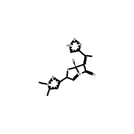 C/C(=C1\C(=O)[N+]2=CC(c3cc(C)n(C)n3)S[C@H]12)c1c[nH]nn1